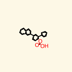 O=C(O)Oc1ccc(-c2ccc3ccccc3c2)cc1-c1ccccc1